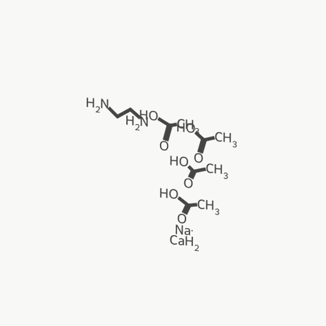 CC(=O)O.CC(=O)O.CC(=O)O.CC(=O)O.NCCN.[CaH2].[Na]